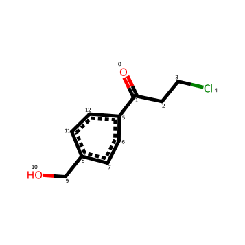 O=C(CCCl)c1ccc(CO)cc1